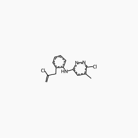 C=C(Cl)Cc1ccccc1Nc1cc(C)c(Cl)nn1